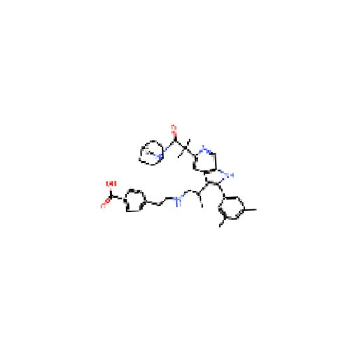 Cc1cc(C)cc(-c2[nH]c3cnc(C(C)(C)C(=O)N4CC5CCC4CC5)cc3c2C(C)CNCCc2ccc(C(=O)O)cc2)c1